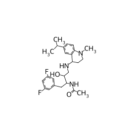 CC(=O)NC(Cc1cc(F)cc(F)c1)C(O)CNC1CCN(C)c2ccc(C(C)C)cc21